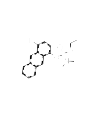 CCOP(=O)(Oc1ccc(F)c2cc3ccccc3cc12)N(C)C